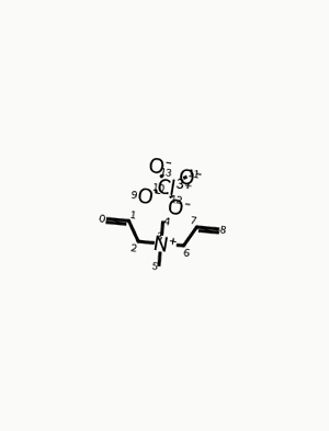 C=CC[N+](C)(C)CC=C.[O-][Cl+3]([O-])([O-])[O-]